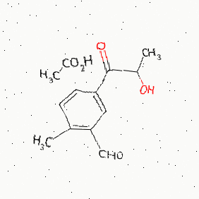 CC(=O)O.Cc1ccc(C(=O)C(C)O)cc1C=O